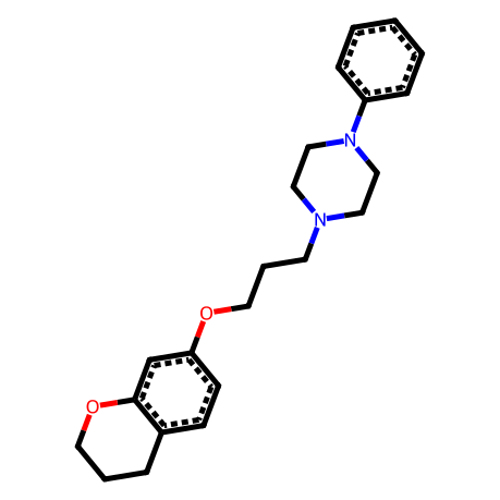 c1ccc(N2CCN(CCCOc3ccc4c(c3)OCCC4)CC2)cc1